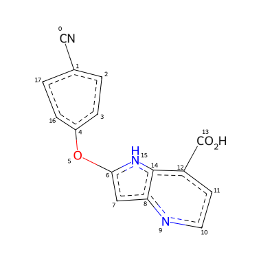 N#Cc1ccc(Oc2cc3nccc(C(=O)O)c3[nH]2)cc1